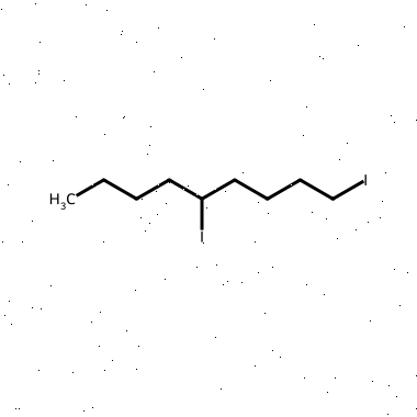 CCCCC(I)CCCCI